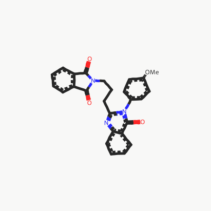 COc1ccc(-n2c(CCCN3C(=O)c4ccccc4C3=O)nc3ccccc3c2=O)cc1